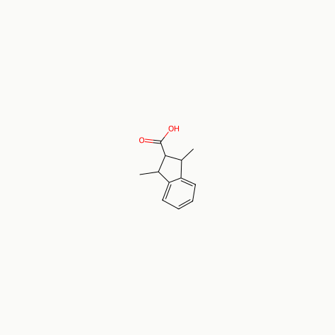 CC1c2ccccc2C(C)C1C(=O)O